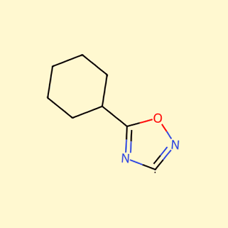 [c]1noc(C2CCCCC2)n1